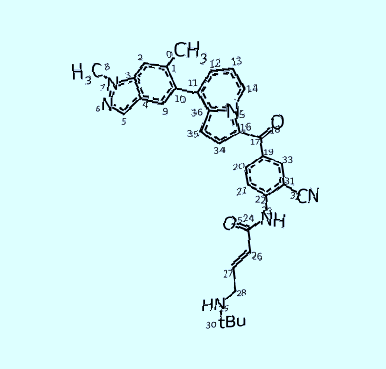 Cc1cc2c(cnn2C)cc1-c1cccn2c(C(=O)c3ccc(NC(=O)/C=C/CNC(C)(C)C)c(C#N)c3)ccc12